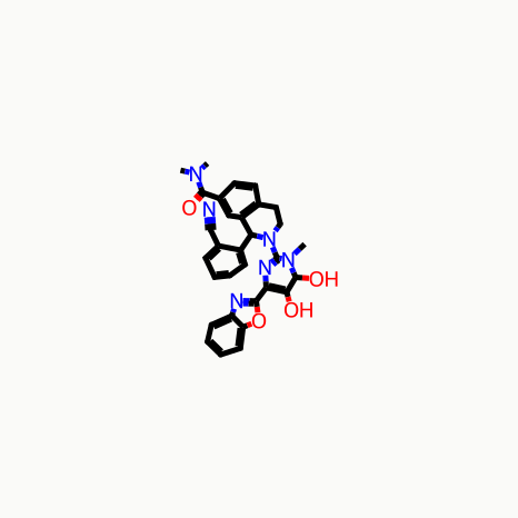 CN(C)C(=O)c1ccc2c(c1)C(c1ccccc1C#N)N(C1=NC(c3nc4ccccc4o3)=C(O)C(O)N1C)CC2